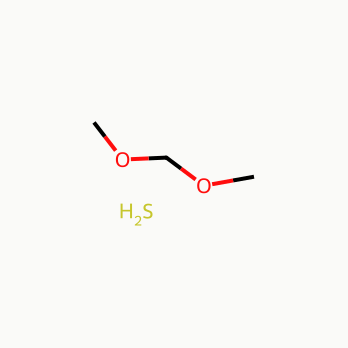 COCOC.S